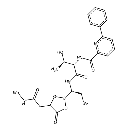 CC(C)C[C@H](NC(=O)[C@@H](NC(=O)c1cccc(-c2ccccc2)n1)[C@@H](C)O)B1OC(=O)C(CC(=O)NC(C)(C)C)O1